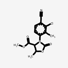 COC(=O)C1C(C)OC(=O)N1c1ccc(C#N)c(Cl)c1C